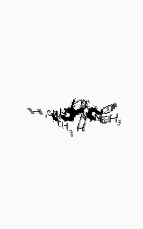 Cc1cc(C)n(-c2ccc(C(=O)Nc3cn(C)c(=O)cc3C)cn2)n1